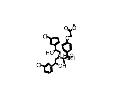 COC(=O)COc1ccc(CC(C)N(CC(O)c2cccc(Cl)c2)CC(O)c2cccc(Cl)c2)cc1.Cl.O